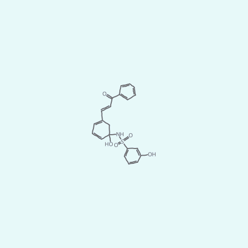 O=C(C=CC1=CC=CC(O)(NS(=O)(=O)c2cccc(O)c2)C1)c1ccccc1